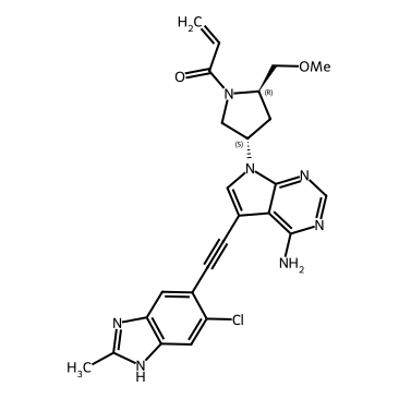 C=CC(=O)N1C[C@@H](n2cc(C#Cc3cc4nc(C)[nH]c4cc3Cl)c3c(N)ncnc32)C[C@@H]1COC